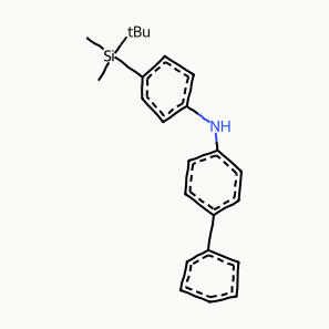 CC(C)(C)[Si](C)(C)c1ccc(Nc2ccc(-c3ccccc3)cc2)cc1